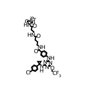 CC(C)S(=O)(=O)NC(=O)CCNC(=O)CCCNC(=O)c1ccc(Nc2nc(NC3(c4ccc(Cl)cc4)CC3)nc(OCC(F)(F)F)n2)cc1